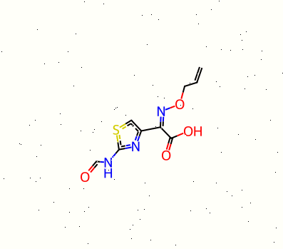 C=CCON=C(C(=O)O)c1csc(NC=O)n1